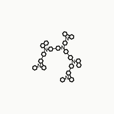 c1ccc(-n2c3ccccc3c3cc(-c4ccc(N(c5ccc(-c6ccc(N(c7ccc(-c8ccc(N(c9ccc(-c%10ccc%11c(c%10)c%10ccccc%10n%11-c%10ccccc%10)cc9)c9cccc%10ccccc9%10)cc8)cc7)c7ccc(-n8c9ccccc9c9ccccc98)cc7)cc6)cc5)c5cccc6ccccc56)cc4)ccc32)cc1